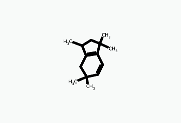 CC1CC(C)(C)C2=C1CC(C)(C)C=C2